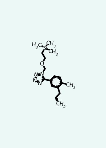 C=CCc1cc(-c2nnnn2COCC[Si](C)(C)C)ccc1C